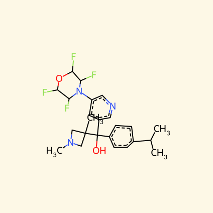 CC(C)c1ccc(C(O)(c2cncc(N3C(F)C(F)OC(F)C3F)c2)C2(C)CN(C)C2)cc1